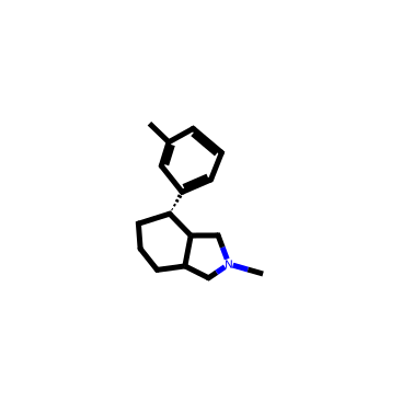 Cc1cccc([C@H]2CCCC3CN(C)CC32)c1